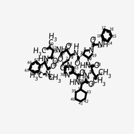 CCC[C@H](NC(=O)[C@@H]1CN(C(=O)Nc2ccccc2)C[C@@H]1NC(=O)[C@@H](NC(=O)[C@@H](NC(=O)c1cnccn1)C1CCCCC1)C(C)C)C(=O)C(=O)N[C@H](C(=O)N[C@H](C(=O)N(C)C)c1ccccc1)C(C)C